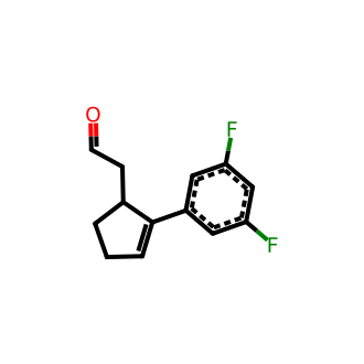 O=CCC1CCC=C1c1cc(F)cc(F)c1